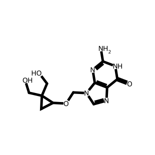 Nc1nc2c(ncn2COC2CC2(CO)CO)c(=O)[nH]1